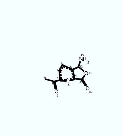 CC(=O)c1ccc2c(c1)C(=O)OC2N